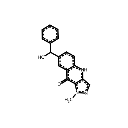 Cn1ncc2[nH]c3ccc(C(O)c4ccccc4)cc3c(=O)c21